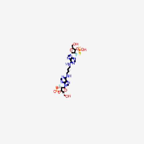 O=[PH](O)O[C@@H]1[C@@H](CO)OC(n2cnc3c(NC/C=C/CNc4ncnc5c4ncn5[C@@H]4OC(CO)[C@@H](O[PH](O)=S)[C@H]4F)ncnc32)[C@@H]1F